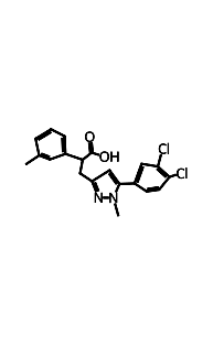 Cc1cccc(C(Cc2cc(-c3ccc(Cl)c(Cl)c3)n(C)n2)C(=O)O)c1